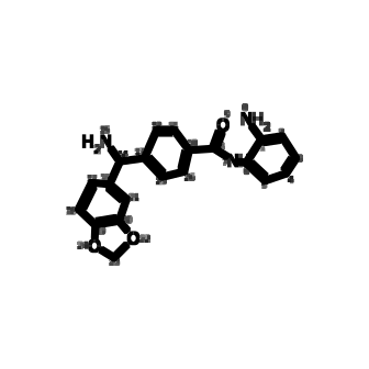 Nc1ccccc1NC(=O)c1ccc(C(N)c2ccc3c(c2)OCO3)cc1